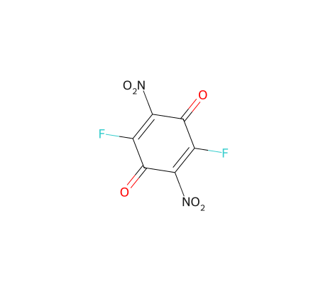 O=C1C(F)=C([N+](=O)[O-])C(=O)C(F)=C1[N+](=O)[O-]